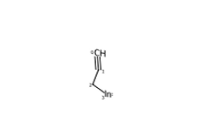 C#C[CH2][In]